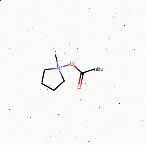 CCCCC(=O)O[N+]1(C)CCCC1